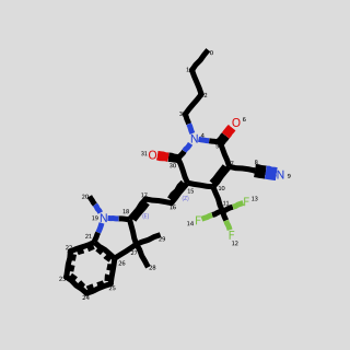 CCCCN1C(=O)C(C#N)=C(C(F)(F)F)/C(=C/C=C2/N(C)c3ccccc3C2(C)C)C1=O